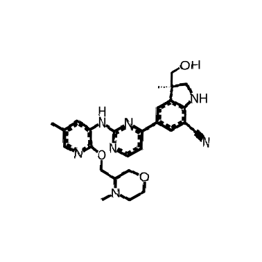 Cc1cnc(OCC2COCCN2C)c(Nc2nccc(-c3cc(C#N)c4c(c3)[C@@](C)(CO)CN4)n2)c1